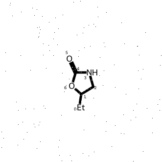 CCC1CNC(=O)O1